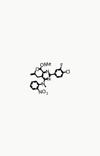 C=C(C)Cc1c(C(=O)OC)nc(-c2ccc(Cl)c(F)c2)nc1N(C)c1ccccc1[N+](=O)[O-]